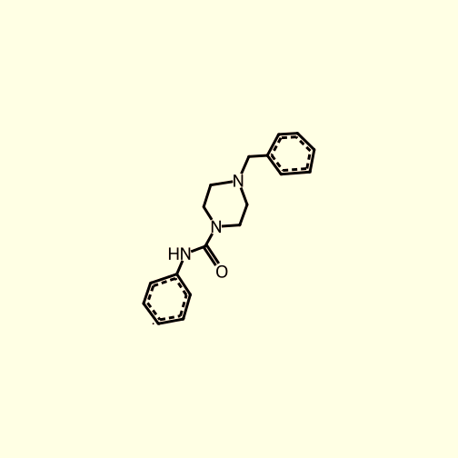 O=C(Nc1cc[c]cc1)N1CCN(Cc2ccccc2)CC1